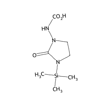 C[Si](C)(C)N1CCN(NC(=O)O)C1=O